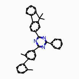 Cc1ccccc1-c1ccc(-c2nc(-c3ccccc3)nc(-c3ccc4c(c3)C(C)(C)c3ccccc3-4)n2)cc1C